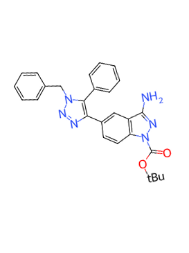 CC(C)(C)OC(=O)n1nc(N)c2cc(-c3nnn(Cc4ccccc4)c3-c3ccccc3)ccc21